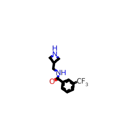 O=C(NCC1CNC1)c1cccc(C(F)(F)F)c1